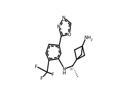 C[C@H](Nc1cc(-c2nnco2)ccc1C(F)(F)F)C12CC(N)(C1)C2